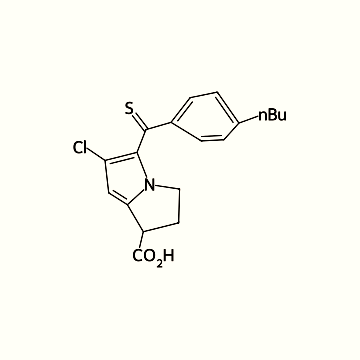 CCCCc1ccc(C(=S)c2c(Cl)cc3n2CCC3C(=O)O)cc1